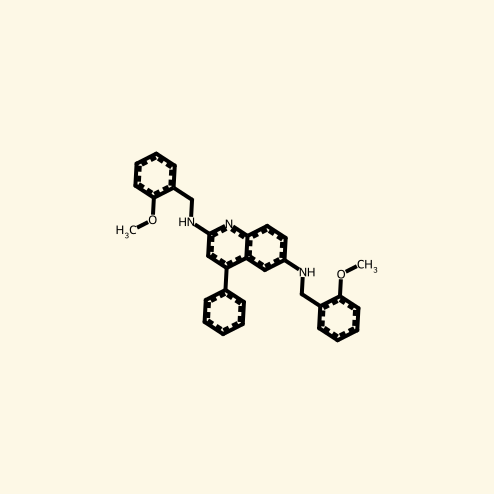 COc1ccccc1CNc1ccc2nc(NCc3ccccc3OC)cc(-c3ccccc3)c2c1